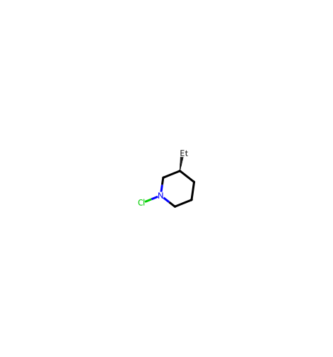 CC[C@H]1CCCN(Cl)C1